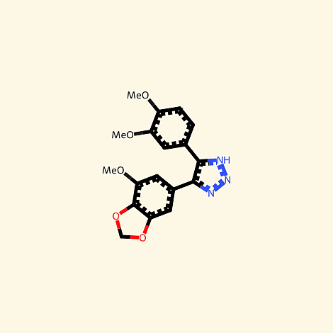 COc1[c]cc(-c2[nH]nnc2-c2cc(OC)c3c(c2)OCO3)cc1OC